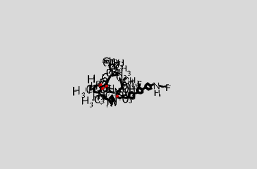 CC[C@H]1OC(=O)[C@H](C)[C@@H](O[C@H]2C[C@@](C)(OC)[C@@H](O)[C@H](C)O2)[C@H](C)[C@@H](O[C@@H]2C[C@H](C)C[C@H](N(C)CCc3cn(CCCOc4ccc(-c5ccc(-c6ccc(CNCCCF)cc6)c(F)c5)cc4)nn3)[C@H]2O)[C@](C)(O)C[C@@H](C)CN(C)[C@H](C)[C@@H](O)[C@]1(C)O